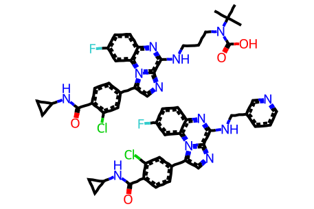 CC(C)(C)N(CCCNc1nc2ccc(F)cc2n2c(-c3ccc(C(=O)NC4CC4)c(Cl)c3)cnc12)C(=O)O.O=C(NC1CC1)c1ccc(-c2cnc3c(NCc4cccnc4)nc4ccc(F)cc4n23)cc1Cl